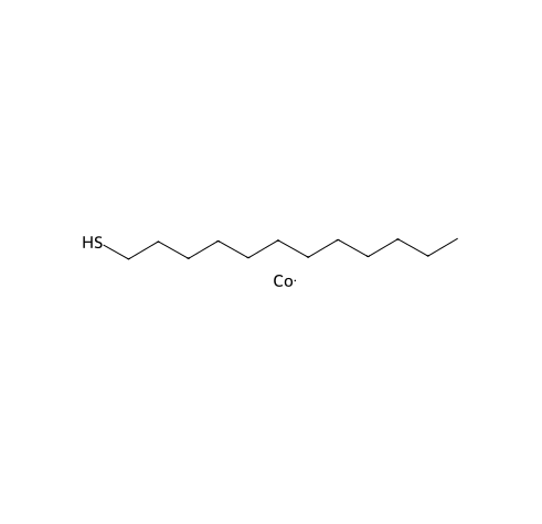 CCCCCCCCCCCCS.[Co]